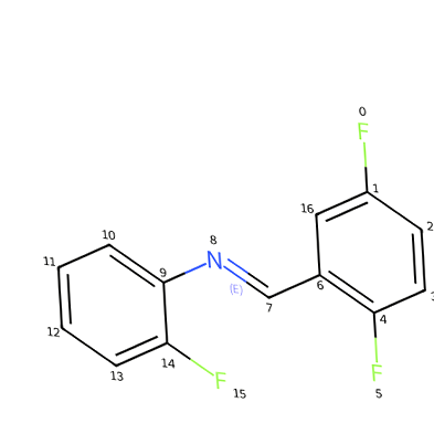 Fc1ccc(F)c(/C=N/c2ccccc2F)c1